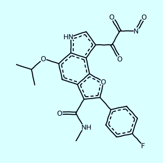 CNC(=O)c1c(-c2ccc(F)cc2)oc2c1cc(OC(C)C)c1[nH]cc(C(=O)C(=O)N=O)c12